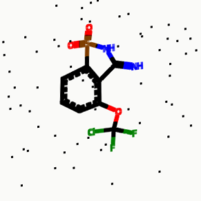 N=C1NS(=O)(=O)c2cccc(OC(F)(F)Cl)c21